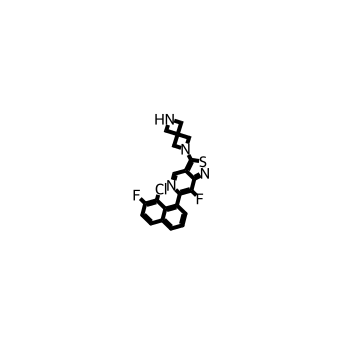 Fc1ccc2cccc(-c3ncc4c(N5CC6(CNC6)C5)snc4c3F)c2c1Cl